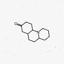 O=C1CCC2C(CCC3CCCCN32)C1